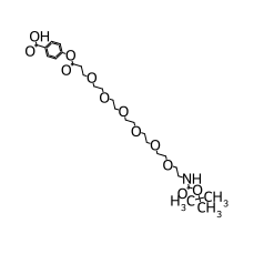 CC(C)(C)OC(=O)NCCOCCOCCOCCOCCOCCOCCC(=O)Oc1ccc(C(=O)O)cc1